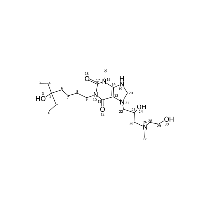 CCC(O)(CC)CCCCn1c(=O)c2c(n(C)c1=O)NCN2CC(O)CN(C)CCO